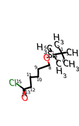 CC(C)(C)[Si](C)(C)OCCCCCC(=O)Cl